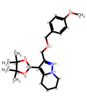 COc1ccc(COCc2nn3c(c2B2OC(C)(C)C(C)(C)O2)CCCC3)cc1